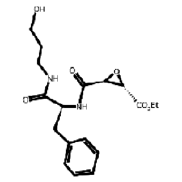 CCOC(=O)[C@H]1O[C@@H]1C(=O)N[C@@H](Cc1ccccc1)C(=O)NCCCO